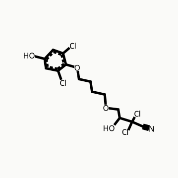 N#CC(Cl)(Cl)C(O)COCCCCOc1c(Cl)cc(O)cc1Cl